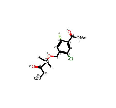 COC(=O)c1cc(Cl)c(CO[Si](C)(C)C(=O)CC(C)(C)C)cc1F